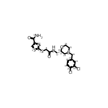 NC(=O)c1csc(SCC(=O)NC[C@H]2CN(Cc3ccc(Cl)c(Cl)c3)CCO2)n1